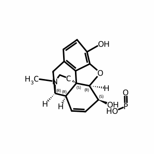 CN1CC[C@]23c4c5ccc(O)c4O[C@H]2[C@@H](O)C=C[C@H]3[C@H]1C5.O=PO